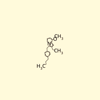 CCCCc1ccc(Cc2c(CC)cc3c(OC)cccn23)cc1